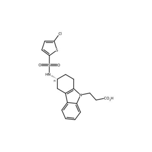 O=C(O)CCn1c2c(c3ccccc31)C[C@H](NS(=O)(=O)c1ccc(Cl)s1)CC2